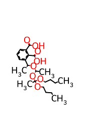 CCCCOC(C)(OCCCC)OC(C)OC(C)c1cccc(C(=O)O)c1C(=O)O